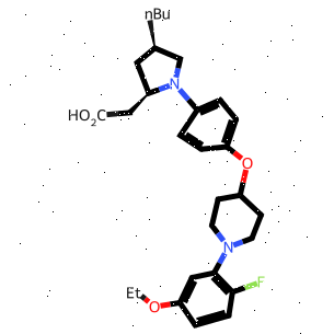 CCCC[C@@H]1C[C@H](CC(=O)O)N(c2ccc(OC3CCN(c4cc(OCC)ccc4F)CC3)cc2)C1